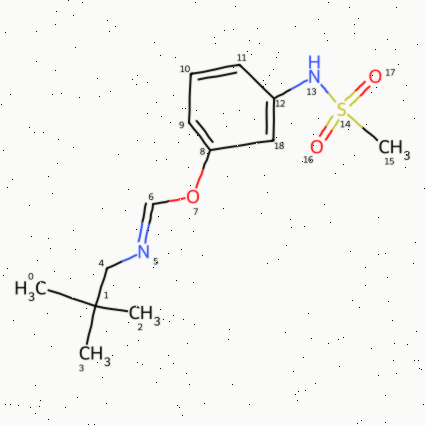 CC(C)(C)C/N=C/Oc1cccc(NS(C)(=O)=O)c1